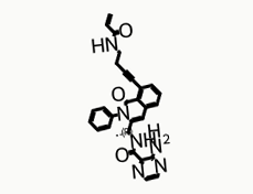 C=CC(=O)NCCC#Cc1cccc2cc([C@@H](C)NC(=O)c3nccnc3N)n(-c3ccccc3)c(=O)c12